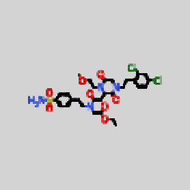 CCOC(=O)CN(CCc1ccc(S(N)(=O)=O)cc1)C(=O)CC1C(=O)N(CCc2ccc(Cl)cc2Cl)CC(=O)N1CCOC